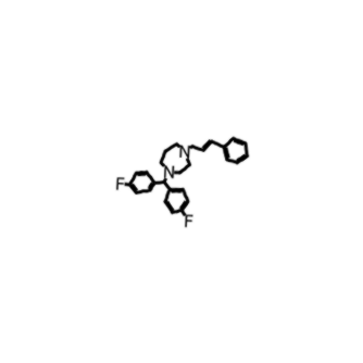 Fc1ccc(C(c2ccc(F)cc2)N2CCCN(CC=Cc3ccccc3)CC2)cc1